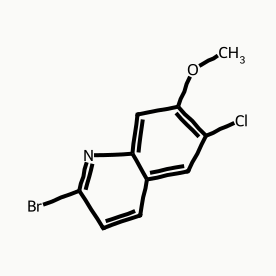 COc1cc2nc(Br)ccc2cc1Cl